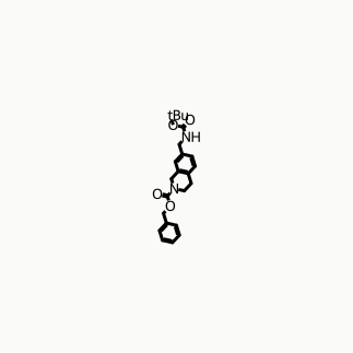 CC(C)(C)OC(=O)NCc1ccc2c(c1)CN(C(=O)OCc1ccccc1)CC2